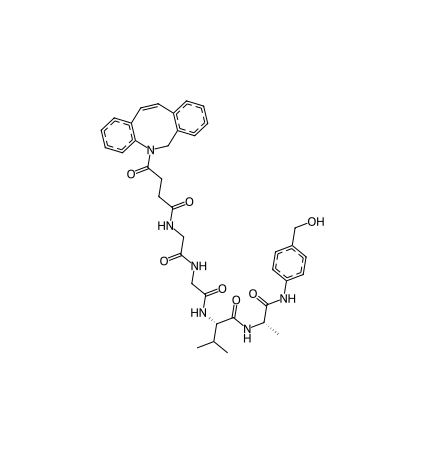 CC(C)[C@H](NC(=O)CNC(=O)CNC(=O)CCC(=O)N1Cc2ccccc2/C=C\c2ccccc21)C(=O)N[C@@H](C)C(=O)Nc1ccc(CO)cc1